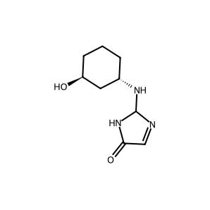 O=C1C=NC(N[C@H]2CCC[C@H](O)C2)N1